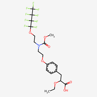 CCOC(Cc1ccc(OCCN(CCOC(F)(F)C(F)(F)C(F)(F)C(F)(F)F)C(=O)OC)cc1)C(=O)O